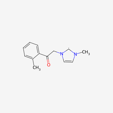 Cc1ccccc1C(=O)CN1[CH]N(C)C=C1